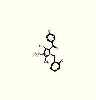 Cc1c(C(=O)O)c(C)n(Cc2ccccc2Cl)c1C(=O)c1ccc(Cl)cc1